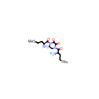 CSCCC(N)C(=O)N1CCN(C(=O)C(N)CCSC)C(=O)C1=O